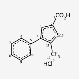 Cl.O=C(O)c1cc(-c2ccccc2)c(C(F)(F)F)s1